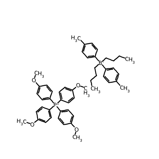 CCCC[B-](CCCC)(c1ccc(C)cc1)c1ccc(C)cc1.COc1ccc([P+](c2ccc(OC)cc2)(c2ccc(OC)cc2)c2ccc(OC)cc2)cc1